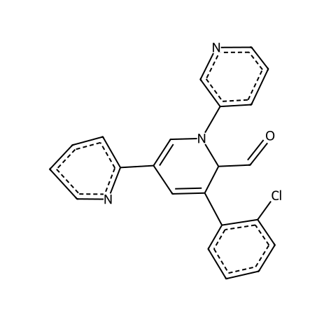 O=CC1C(c2ccccc2Cl)=CC(c2ccccn2)=CN1c1cccnc1